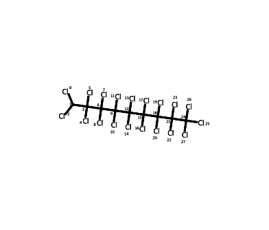 ClC(Cl)C(Cl)(Cl)C(Cl)(Cl)C(Cl)(Cl)C(Cl)(Cl)C(Cl)(Cl)C(Cl)(Cl)C(Cl)(Cl)C(Cl)(Cl)Cl